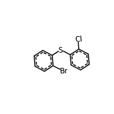 Clc1ccccc1Sc1ccccc1Br